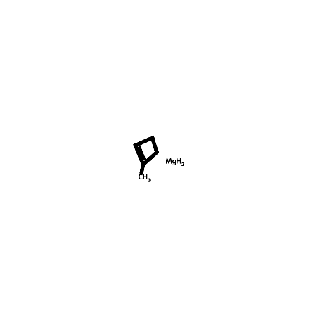 CC1=C[CH]C1.[MgH2]